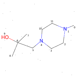 CN1CCN(CC(C)(C)O)CC1